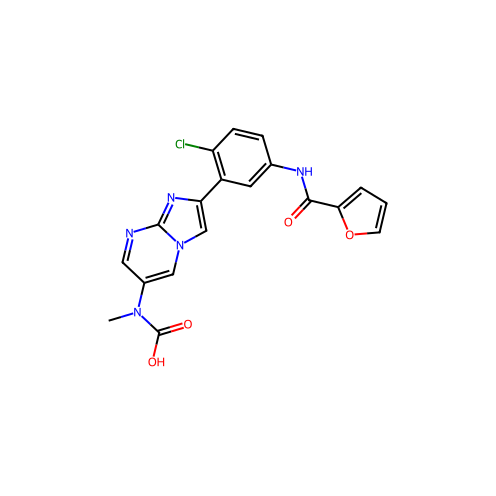 CN(C(=O)O)c1cnc2nc(-c3cc(NC(=O)c4ccco4)ccc3Cl)cn2c1